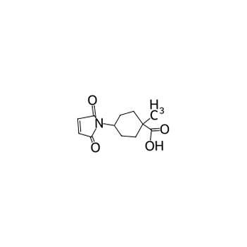 CC1(C(=O)O)CCC(N2C(=O)C=CC2=O)CC1